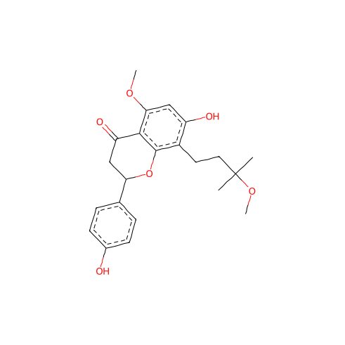 COc1cc(O)c(CCC(C)(C)OC)c2c1C(=O)CC(c1ccc(O)cc1)O2